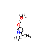 COCCOc1ccc(C(C)C)nc1